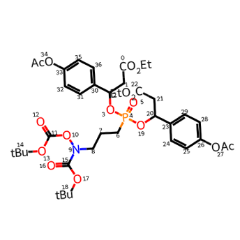 CCOC(=O)CC(OP(=O)(CCCN(OC(=O)OC(C)(C)C)C(=O)OC(C)(C)C)OC(CC(=O)OCC)c1ccc(OC(C)=O)cc1)c1ccc(OC(C)=O)cc1